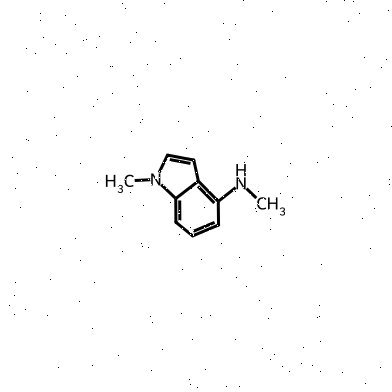 CNc1cccc2c1ccn2C